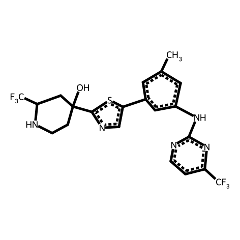 Cc1cc(Nc2nccc(C(F)(F)F)n2)cc(-c2cnc(C3(O)CCNC(C(F)(F)F)C3)s2)c1